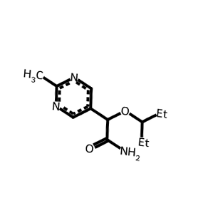 CCC(CC)OC(C(N)=O)c1cnc(C)nc1